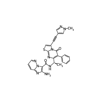 C[C@@H](NC(=O)c1c(N)nc2cccnn12)c1nc2scc(C#Cc3cnn(C)c3)n2c(=O)c1-c1ccccc1